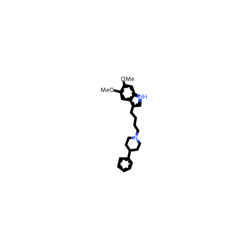 COc1cc2[nH]cc(CCCCN3CCC(c4ccccc4)CC3)c2cc1OC